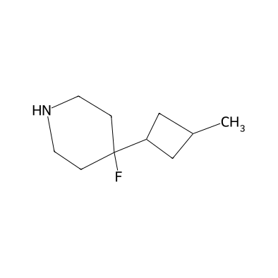 CC1CC(C2(F)CCNCC2)C1